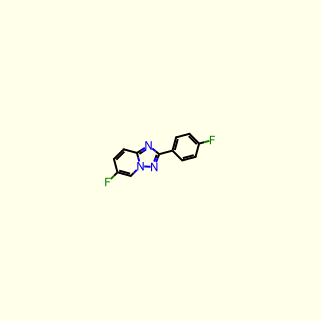 Fc1ccc(-c2nc3ccc(F)cn3n2)cc1